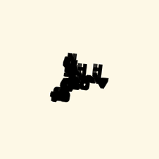 CC(C)(C)OC(=O)N1CCc2c(sc(NC(=O)CCNC3CC3)c2-c2nc3cnccc3s2)C1